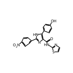 O=C(Nc1nccs1)c1nc(-c2ccc([N+](=O)[O-])cc2)[nH]c1-c1ccc(O)cc1